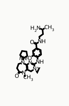 COc1cc(C(=O)NCCC(C)N)ccc1NC1=NC2=C(C[N+]13CC3)N(C)C(=O)CCN2C1CCCC1